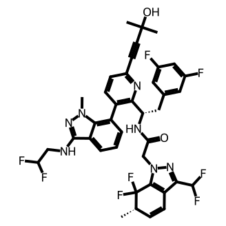 C[C@H]1C=Cc2c(C(F)F)nn(CC(=O)N[C@@H](Cc3cc(F)cc(F)c3)c3nc(C#CC(C)(C)O)ccc3-c3cccc4c(NCC(F)F)nn(C)c34)c2C1(F)F